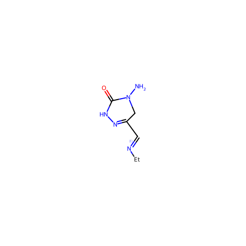 CC/N=C/C1=NNC(=O)N(N)C1